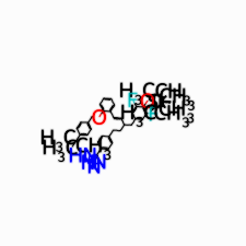 CC(C)[Si](Oc1c(F)cc(CC(/C=C/c2ccccc2OCc2ccc(C(C)(C)C)cc2)CCc2ccc(-c3nnn[nH]3)cc2)cc1F)(C(C)C)C(C)C